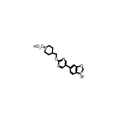 O=C(O)N1CCC(COc2ncc(-c3ccc4c(c3)OC[S@+]4[O-])cn2)CC1